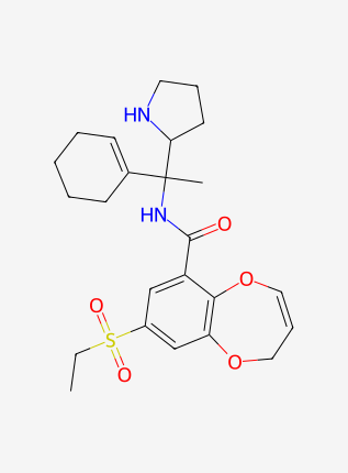 CCS(=O)(=O)c1cc2c(c(C(=O)NC(C)(C3=CCCCC3)C3CCCN3)c1)OC=CCO2